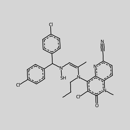 CCCN(/C(C)=C\N(S)C(c1ccc(Cl)cc1)c1ccc(Cl)cc1)c1c(Cl)c(=O)n(C)c2ccc(C#N)nc12